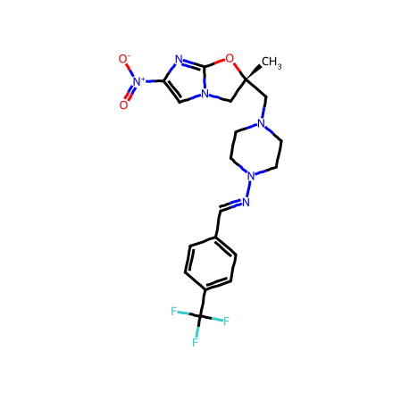 C[C@@]1(CN2CCN(N=Cc3ccc(C(F)(F)F)cc3)CC2)Cn2cc([N+](=O)[O-])nc2O1